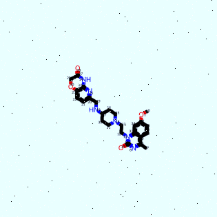 COc1ccc2c(C)nc(=O)n(CCN3CCC(NCc4ccc5c(n4)NC(=O)CO5)CC3)c2c1